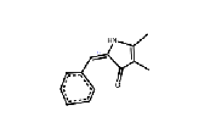 CC1=C(C)C(=O)/C(=C\c2ccccc2)N1